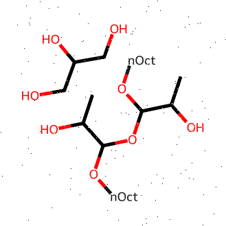 CCCCCCCCOC(OC(OCCCCCCCC)C(C)O)C(C)O.OCC(O)CO